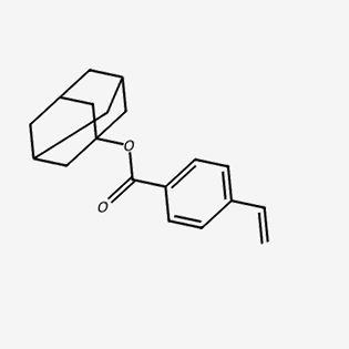 C=Cc1ccc(C(=O)OC23CC4CC(CC(C4)C2)C3)cc1